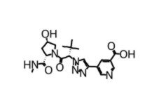 CNC(=O)[C@@H]1C[C@@H](O)CN1C(=O)[C@@H](n1cc(-c2cncc(C(=O)O)c2)nn1)C(C)(C)C